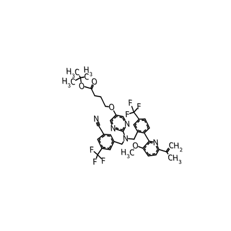 C=C(C)c1ccc(OC)c(-c2ccc(C(F)(F)F)cc2CN(Cc2cc(C#N)cc(C(F)(F)F)c2)c2ncc(OCCCC(=O)OC(C)(C)C)cn2)n1